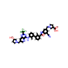 Cc1c(Nc2nc(C(F)(F)F)nc3cc(CN4CC[C@@H](O)C4)cnc23)cccc1-c1cccc(-c2nc3cc(CN4CCC(C(=O)O)C4)cc(C#N)c3o2)c1C